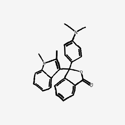 Cc1c(C2(c3ccc(N(C)C)cc3)OC(=O)c3ccccc32)c2ccccc2n1C